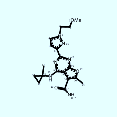 COCCn1ccc(-c2nc(NC3(C)CC3)c3c(C(N)=O)c(C)oc3n2)n1